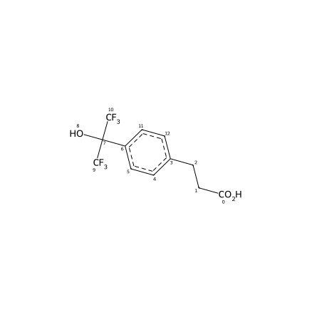 O=C(O)CCc1ccc(C(O)(C(F)(F)F)C(F)(F)F)cc1